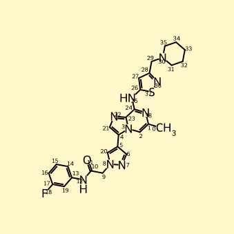 Cc1cn2c(-c3cnn(CC(=O)Nc4cccc(F)c4)c3)cnc2c(Nc2cc(CN3CCCCC3)ns2)n1